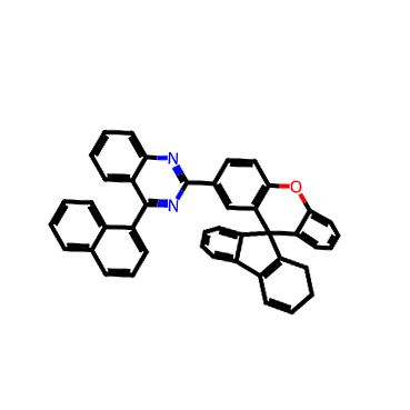 C1=CC2=C(CC1)C1(c3ccccc3Oc3ccc(-c4nc(-c5cccc6ccccc56)c5ccccc5n4)cc31)c1ccccc12